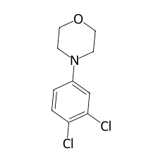 Clc1ccc(N2CCOCC2)cc1Cl